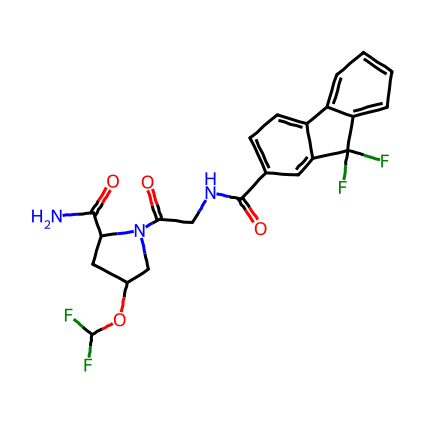 NC(=O)C1CC(OC(F)F)CN1C(=O)CNC(=O)c1ccc2c(c1)C(F)(F)c1ccccc1-2